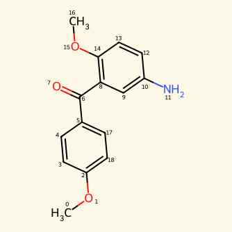 COc1ccc(C(=O)c2cc(N)ccc2OC)cc1